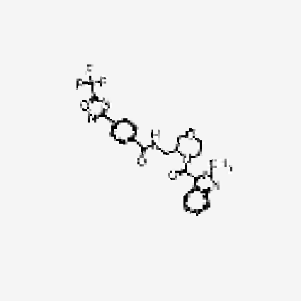 Cn1nc2ccccc2c1C(=O)N1CCOCC1CNC(=O)c1ccc(-c2noc(C(F)(F)F)n2)cc1